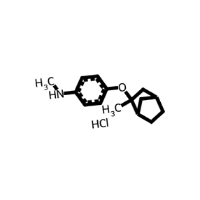 CNc1ccc(OC2(C)CC3CCC2C3)cc1.Cl